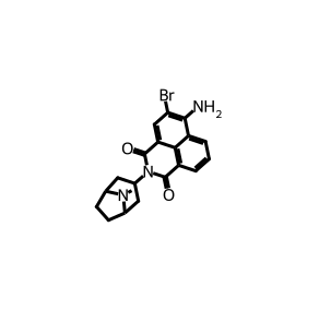 CN1C2CCC1CC(N1C(=O)c3cccc4c(N)c(Br)cc(c34)C1=O)C2